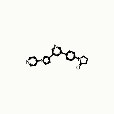 O=C1CCCN1c1ccc(-c2cncc(-c3ccn(-c4ccncc4)c3)c2)cc1